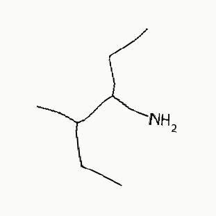 CCC(C)C(N)CC